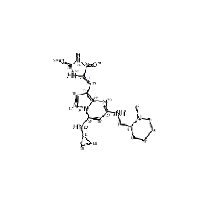 CN1CCCCC1CNc1cc(NC2CC2)n2ncc(/C=C3\NC(=O)NC3=O)c2n1